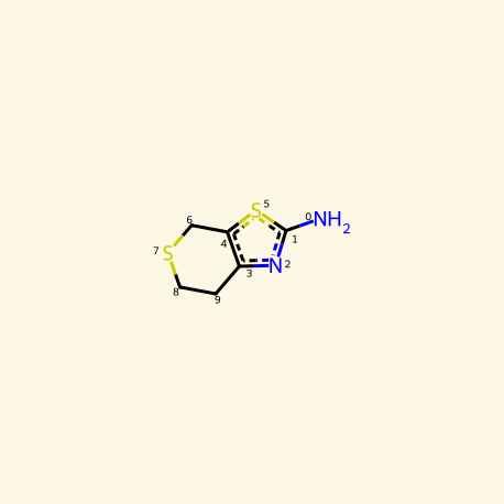 Nc1nc2c(s1)CSCC2